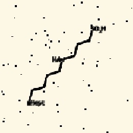 CCCCCCCCCCC[AsH]CCCS(=O)(=O)O